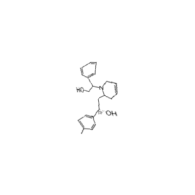 Cc1ccc([C@@H](O)CC2CC=CCN2C(CO)c2ccccc2)cc1